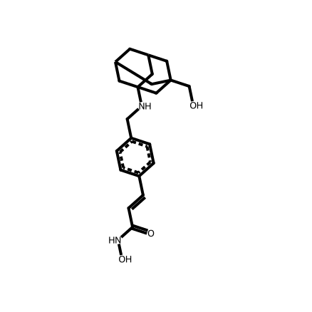 O=C(C=Cc1ccc(CNC23CC4CC(CC(CO)(C4)C2)C3)cc1)NO